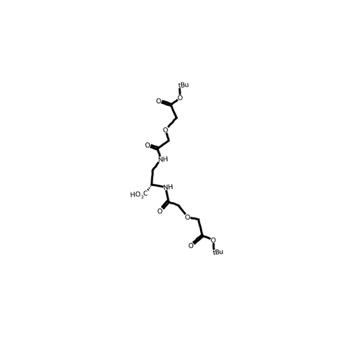 CC(C)(C)OC(=O)COCC(=O)NC[C@H](NC(=O)COCC(=O)OC(C)(C)C)C(=O)O